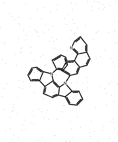 c1ccc(-n2c3ccccc3c3ccc4c5ccccc5n(-c5cnc6c(ccc7cccnc76)c5)c4c32)cc1